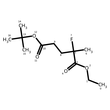 CCOC(=O)C(C)(F)CCC(=O)OC(C)(C)C